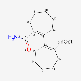 CCCCCCCCC1=C(C2=C(C(N)=O)CCCCC2)CCCCC1